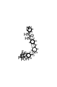 O=C(Nc1ccc(CC2CCN(Cc3ccc(C(O)(C(F)(F)F)C(F)(F)F)cc3)CC2)cc1)Nc1ccnnc1